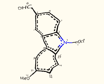 CCCCCCCCn1c2ccc(C=O)cc2c2cc(OC)ccc21